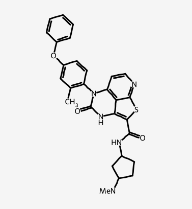 CNC1CCC(NC(=O)c2sc3nccc4c3c2NC(=O)N4c2ccc(Oc3ccccc3)cc2C)C1